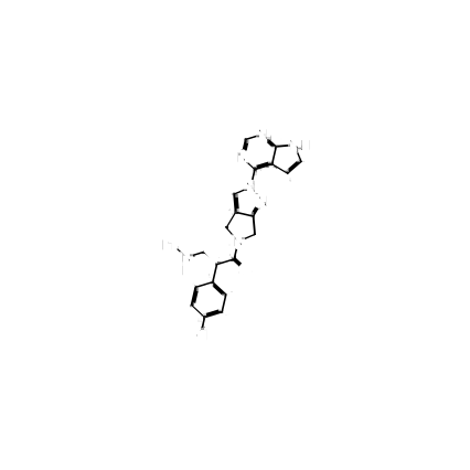 CC(C)NC[C@@H](C(=O)N1Cc2cn(-c3ncnc4[nH]ccc34)nc2C1)c1ccc(Cl)cc1